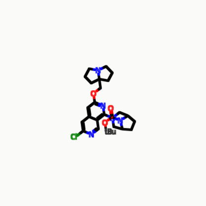 CC(C)(C)OC(=O)N1C2CCC1CN(c1nc(OCC34CCCN3CCC4)cc3cc(Cl)ncc13)C2